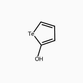 Oc1ccc[te]1